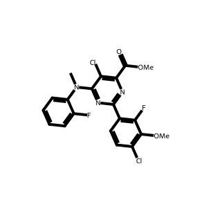 COC(=O)c1nc(-c2ccc(Cl)c(OC)c2F)nc(N(C)c2ccccc2F)c1Cl